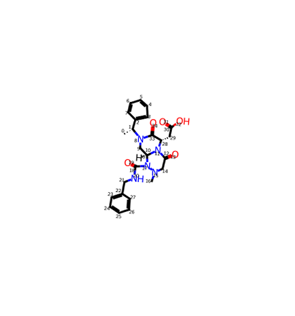 C[C@H](c1ccccc1)N1C[C@H]2N(C(=O)CN(C)N2C(=O)NCc2ccccc2)[C@@H](CC(=O)O)C1=O